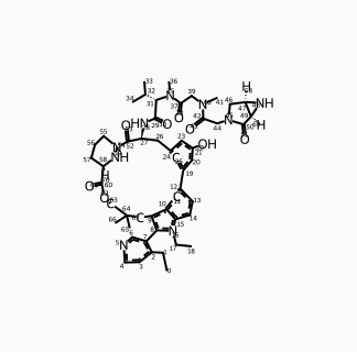 CCc1ccncc1-c1c2c3cc(ccc3n1CC)-c1cc(O)cc(c1)C[C@H](NC(=O)[C@H](C(C)C)N(C)C(=O)CN(C)C(=O)CN1C[C@H]3N[C@H]3C1=O)C(=O)N1CCC[C@H](N1)C(=O)OCC(C)(C)C2